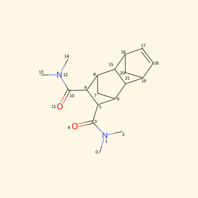 CN(C)C(=O)C1C2CC(C1C(=O)N(C)C)C1C3C=CC(C3)C21